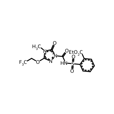 CCOC(=O)c1ccccc1S(=O)(=O)NC(=O)n1nc(OCC(F)(F)F)n(C)c1=O